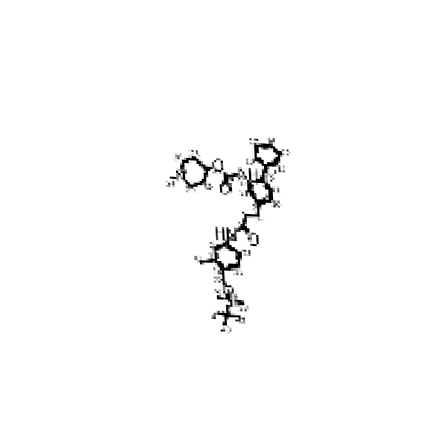 Cc1cc(NC(=O)CCc2ccc(-c3ccccc3)c(NC(=O)OC3CCN(C)CC3)c2)ccc1CO[Si](C)(C)C(C)(C)C